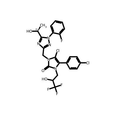 C[C@H](O)c1nc(Cn2c(Cl)c(-c3ccc(Cl)cc3)n(CC(O)C(F)(F)F)c2=O)nn1-c1ccccc1F